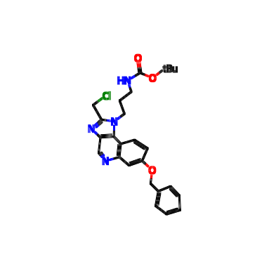 CC(C)(C)OC(=O)NCCCn1c(CCl)nc2cnc3cc(OCc4ccccc4)ccc3c21